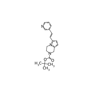 CC(C)(C)OC(=O)N1CCn2c(/C=C/c3cccnc3)ccc2C1